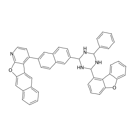 c1ccc(C2NC(c3ccc4cc(-c5ccnc6oc7cc8ccccc8cc7c56)ccc4c3)NC(c3cccc4oc5ccccc5c34)N2)cc1